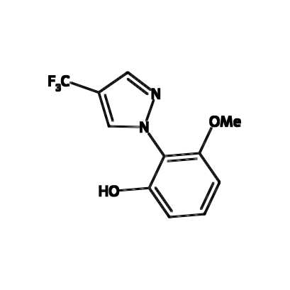 COc1cccc(O)c1-n1cc(C(F)(F)F)cn1